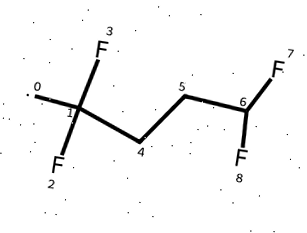 [CH2]C(F)(F)CCC(F)F